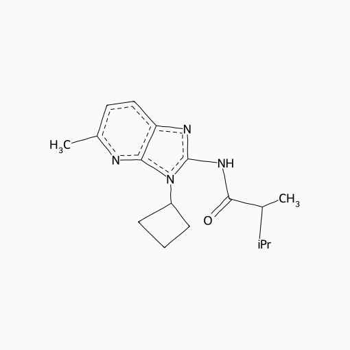 Cc1ccc2nc(NC(=O)C(C)C(C)C)n(C3CCC3)c2n1